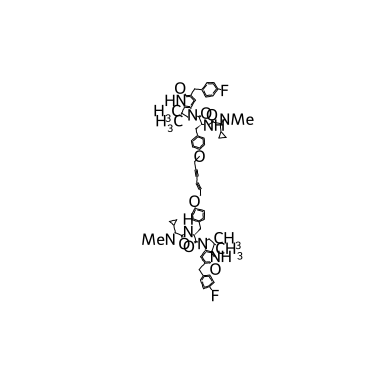 CN[C@H](C(=O)N[C@@H](Cc1ccc(OCC#CC#CCOc2ccc(C[C@H](NC(=O)[C@@H](NC)C3CC3)C(=O)N3CC(C)(C)c4[nH]c(=O)c(Cc5ccc(F)cc5)cc43)cc2)cc1)C(=O)N1CC(C)(C)c2[nH]c(=O)c(Cc3ccc(F)cc3)cc21)C1CC1